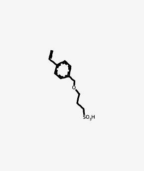 C=Cc1ccc(COCCCS(=O)(=O)O)cc1